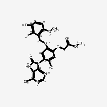 COC(=O)COc1cc(Cl)c(-n2c(=O)[nH]c3c(Cl)ncnc32)cc1OCc1c(OC)ccc(F)c1F